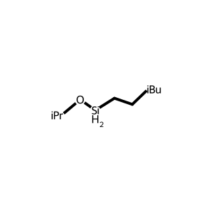 CCC(C)CC[SiH2]OC(C)C